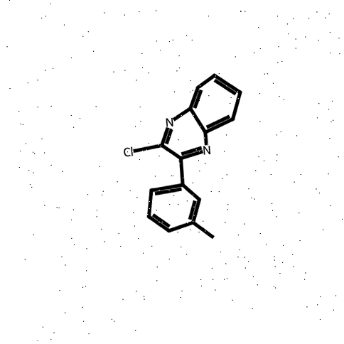 Cc1cccc(-c2nc3ccccc3nc2Cl)c1